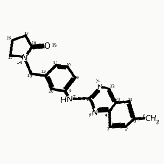 Cc1ccc2nc(Nc3cccc(CN4CCCC4=O)c3)ncc2c1